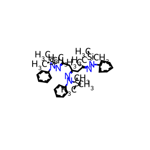 C/C(CC(C/C(C)=N/N(c1ccccc1)[Si](C)(C)C)=NN(c1ccccc1)[Si](C)(C)C)=N\N(c1ccccc1)[Si](C)(C)C